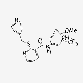 C=C(/C=C(\C=C/COC)NC(=O)c1cccnc1SCc1ccncc1)C(F)(F)F